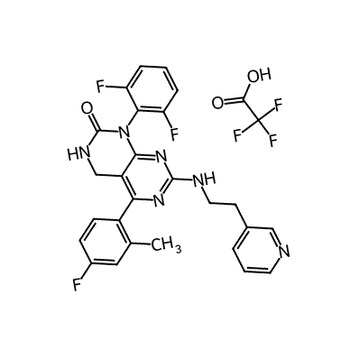 Cc1cc(F)ccc1-c1nc(NCCc2cccnc2)nc2c1CNC(=O)N2c1c(F)cccc1F.O=C(O)C(F)(F)F